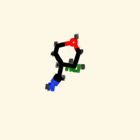 Cl.N#CC1CCOCC1